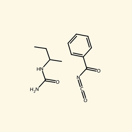 CCC(C)NC(N)=O.O=C=NC(=O)c1ccccc1